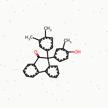 Cc1ccc(C2(c3ccc(O)c(C)c3)C(=O)c3ccccc3-c3ccccc32)cc1C